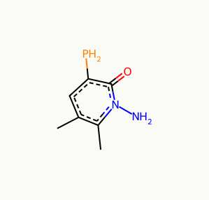 Cc1cc(P)c(=O)n(N)c1C